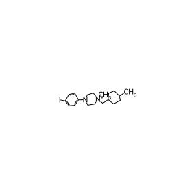 CC1CCC(C[N+]2(C)CCN(c3ccc(I)cc3)CC2)CC1